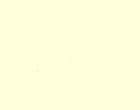 CC(C)=CC1=CC(C)=CC1